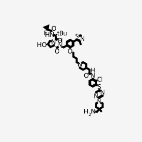 Cc1ncsc1-c1ccc(CNC(=O)[C@@H]2C[C@@H](O)CN2C(=O)[C@@H](NC(=O)C2(F)CC2)C(C)(C)C)c(OCCCCN2CCC(CC(=O)Nc3cccc(Sc4cnc(N5CCC(C)(CN)CC5)cn4)c3Cl)CC2)c1